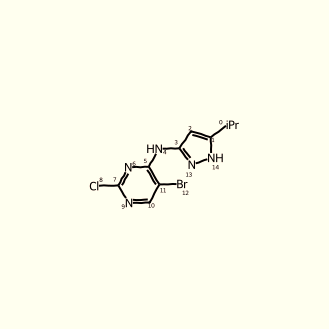 CC(C)c1cc(Nc2nc(Cl)ncc2Br)n[nH]1